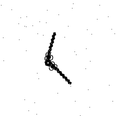 CCCCCCCCCCCCOC(=O)OC1CCCC(OC(=O)OCCCCCCCCCCCC)C1